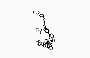 CC(C)(C)OC(=O)N1C(C)(C)OCC1(C)C(=O)NCC(=O)c1ccc(OCCCCCc2ccc(C(F)(F)F)cc2)c(C(F)(F)F)c1